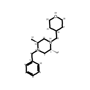 C[C@@H]1CN(Cc2ccccc2)[C@@H](C)CN1CC1CCOCC1